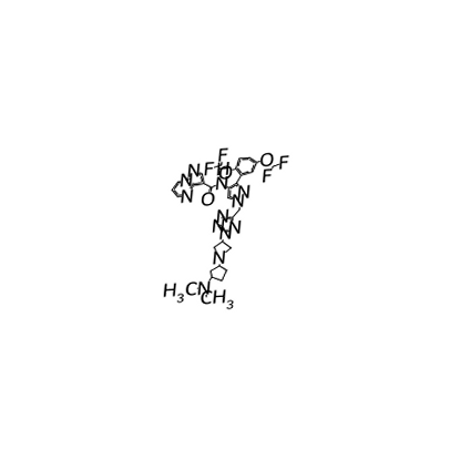 CN(C)C1CCC(N2CC(n3nnc(Cn4cc(NC(=O)c5cnn6cccnc56)c(-c5cc(OC(F)F)ccc5OC(F)F)n4)n3)C2)C1